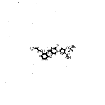 CC(C)(C)[Si](C)(C)O[C@@H]1C[C@H](n2cc3c(nc2=O)Nc2c(OCCN)cccc2O3)O[C@@H]1CO